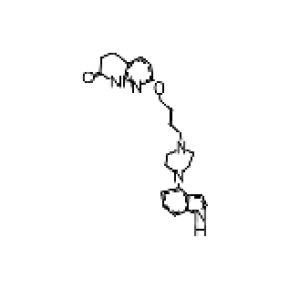 O=C1CCc2ccc(OCCCCN3CCN(c4cccc5[nH]ccc45)CC3)nc2N1